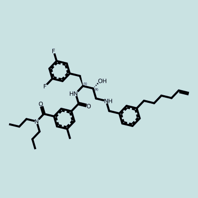 C=CCCCCc1cccc(CNC[C@@H](O)[C@H](Cc2cc(F)cc(F)c2)NC(=O)c2cc(C)cc(C(=O)N(CCC)CCC)c2)c1